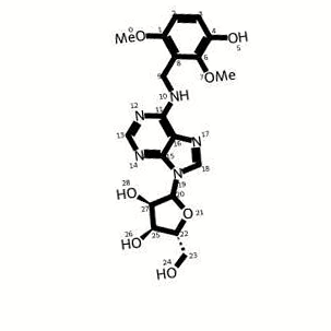 COc1ccc(O)c(OC)c1CNc1ncnc2c1ncn2C1O[C@H](CO)[C@@H](O)[C@H]1O